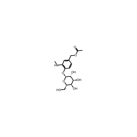 CNc1cc(COC(C)=O)ccc1O[C@@H]1O[C@H](CO)[C@H](O)[C@H](O)[C@H]1O